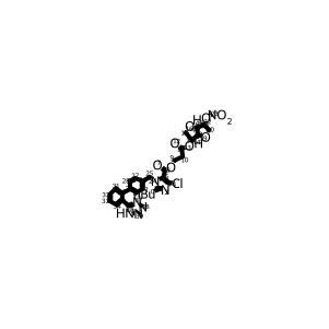 CCCCc1nc(Cl)c(C(=O)OCCC(=O)O[C@H]2CO[C@H]3[C@@H]2OC[C@H]3O[N+](=O)[O-])n1Cc1ccc(-c2ccccc2-c2nnn[nH]2)cc1